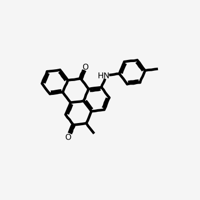 Cc1ccc(Nc2ccc3c4c2C(=O)c2ccccc2C4=CC(=O)C3C)cc1